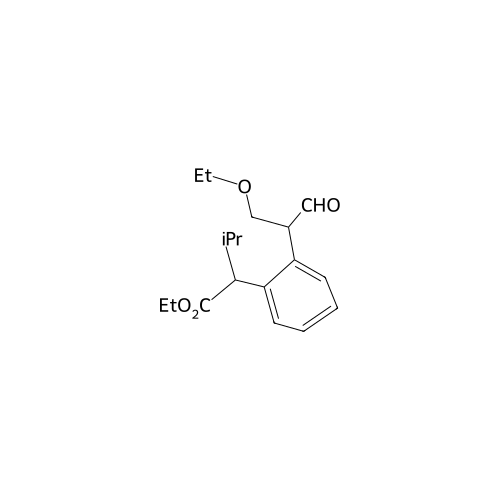 CCOCC(C=O)c1ccccc1C(C(=O)OCC)C(C)C